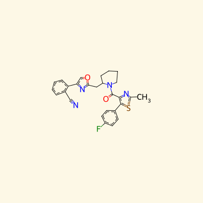 Cc1nc(C(=O)N2CCCCC2Cc2nc(-c3ccccc3C#N)co2)c(-c2ccc(F)cc2)s1